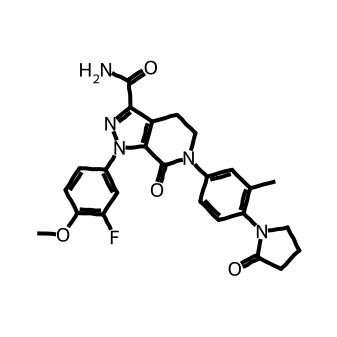 COc1ccc(-n2nc(C(N)=O)c3c2C(=O)N(c2ccc(N4CCCC4=O)c(C)c2)CC3)cc1F